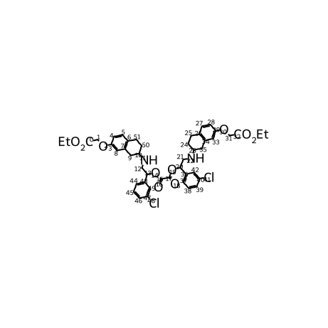 CCOC(=O)COc1ccc2c(c1)CC(NCC(OC(=O)C(=O)OC(CNC1CCc3ccc(OCC(=O)OCC)cc3C1)c1cccc(Cl)c1)c1cccc(Cl)c1)CC2